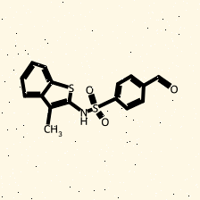 Cc1c(NS(=O)(=O)c2ccc(C=O)cc2)sc2ccccc12